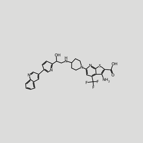 Nc1c(C(=O)O)sc2nc(N3CCC(NCC(O)c4ccc(-c5cnc6ccccc6c5)cn4)CC3)cc(C(F)(F)F)c12